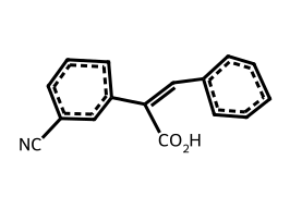 N#Cc1cccc(C(=Cc2ccccc2)C(=O)O)c1